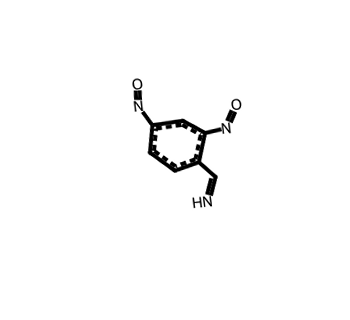 N=Cc1ccc(N=O)cc1N=O